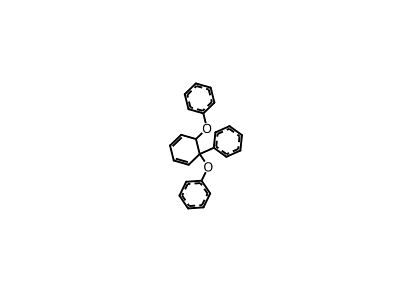 C1=CC(Oc2ccccc2)C(Oc2ccccc2)(c2ccccc2)C=C1